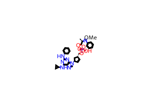 CON(c1ccccc1)[C@H](C)C(=O)OP(=O)(O)OC[C@@H]1C=C[C@H](n2cnc3c(NC4CC4)nc(Nc4ccccc4)nc32)C1